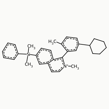 Cc1ccc(C2CCCCC2)cc1-c1c2ccc([Si](C)(C)c3ccccc3)cc2cc[n+]1C